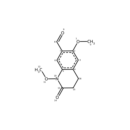 COc1cc2c(cc1C=O)N(OC)C(=O)CC2